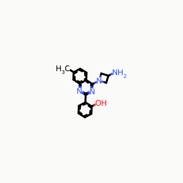 Cc1ccc2c(N3CC(N)C3)nc(-c3ccccc3O)nc2c1